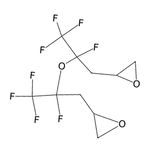 FC(F)(F)C(F)(CC1CO1)OC(F)(CC1CO1)C(F)(F)F